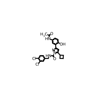 CC(=O)Nc1ccc(O)c(-c2cc(C3CCC3)n(C(=O)NCc3ccc(Cl)c(Cl)c3)n2)c1